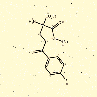 CCOC(=O)C(N)(CCC(=O)c1ccc(F)cc1)C(=O)OC(C)(C)C